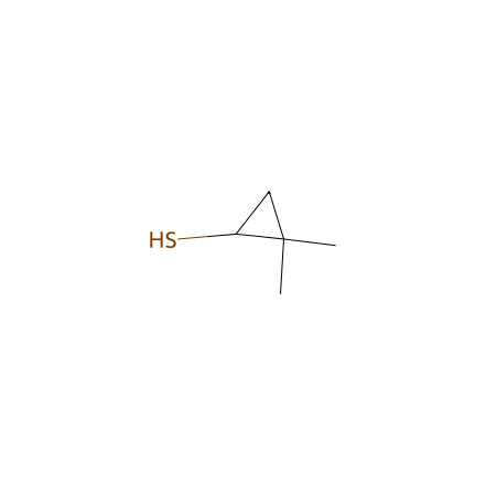 CC1(C)CC1S